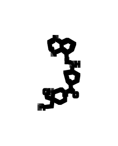 CC(C)CC1(CO)CCN(C(=O)c2ccc(NSc3cccc4nccnc34)cc2)CC1